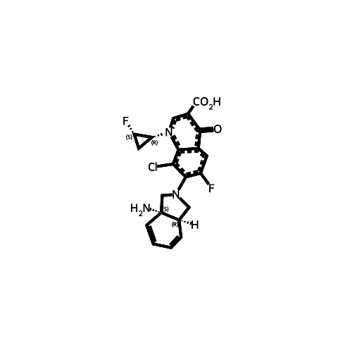 N[C@@]12C=CC=C[C@@H]1CN(c1c(F)cc3c(=O)c(C(=O)O)cn([C@@H]4C[C@@H]4F)c3c1Cl)C2